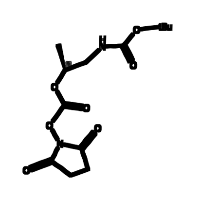 C[C@@H](CNC(=O)OC(C)(C)C)OC(=O)ON1C(=O)CCC1=O